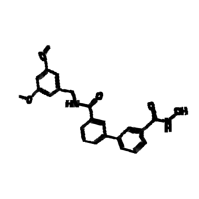 COc1cc(CNC(=O)c2cccc(-c3cccc(C(=O)NO)c3)c2)cc(OC)c1